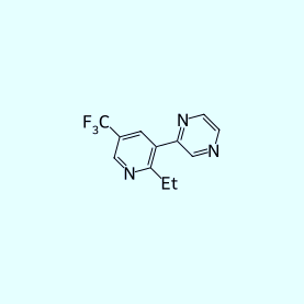 CCc1ncc(C(F)(F)F)cc1-c1cnccn1